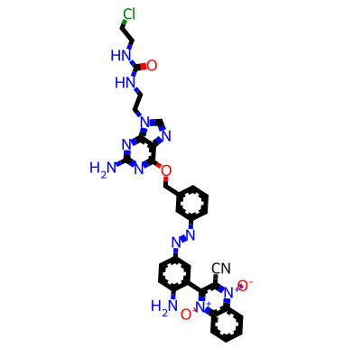 N#Cc1c(-c2cc(N=Nc3cccc(COc4nc(N)nc5c4ncn5CCNC(=O)NCCCl)c3)ccc2N)[n+]([O-])c2ccccc2[n+]1[O-]